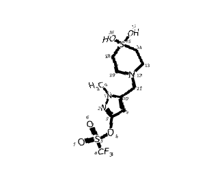 Cn1nc(OS(=O)(=O)C(F)(F)F)cc1CN1CCS(O)(O)CC1